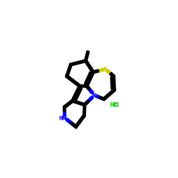 CC1CCC2=C3CNCCC3N3CC=CSC1=C23.Cl